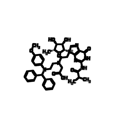 COc1ccc(N(CCN(CC(=O)O)C(=O)C[N+]2([C@@H]3O[C@H](C)[C@@H](O)[C@H]3O)C=Nc3c2nc(NC(=O)C(C)C)[nH]c3=O)C(c2ccccc2)c2ccccc2)cc1